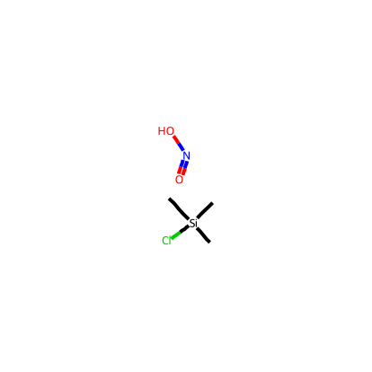 C[Si](C)(C)Cl.O=NO